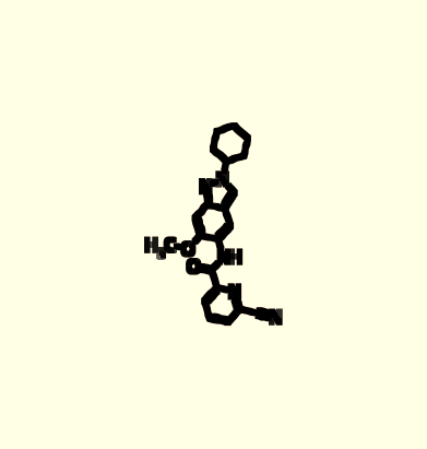 COc1cc2nn(C3CCCCC3)cc2cc1NC(=O)c1cccc(C#N)n1